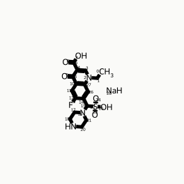 CCn1cc(C(=O)O)c(=O)c2cc(F)c(C(N3CCNCC3)S(=O)(=O)O)cc21.[NaH]